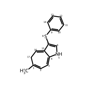 CC1=CC=c2[nH]cc(Sc3ccccc3)c2=CC1